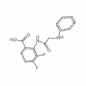 O=C(CNc1ccccc1)Nc1c(C(=O)O)ccc(F)c1F